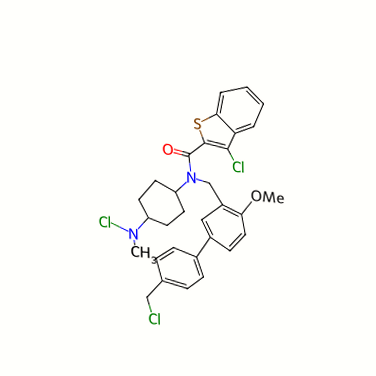 COc1ccc(-c2ccc(CCl)cc2)cc1CN(C(=O)c1sc2ccccc2c1Cl)C1CCC(N(C)Cl)CC1